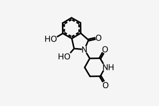 O=C1CCC(N2C(=O)c3cccc(O)c3C2O)C(=O)N1